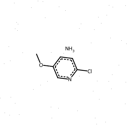 COc1ccc(Cl)nc1.N